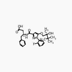 CC(C)(C)[C@](C)(O)COc1cc(C(=O)N[C@H](CC(=O)O)Cc2ccccc2)nn1-c1ccccc1F